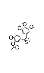 COc1ccc(C2=C(c3cc(OC)c(OC)c(OC)c3)CCS2)cc1OC(C)=O